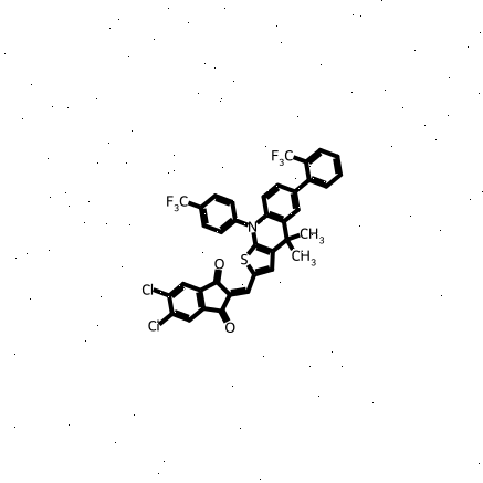 CC1(C)c2cc(-c3ccccc3C(F)(F)F)ccc2N(c2ccc(C(F)(F)F)cc2)c2sc(C=C3C(=O)c4cc(Cl)c(Cl)cc4C3=O)cc21